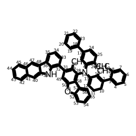 CC1=C(c2ccccc2C)CCC=C1N(c1cc(-c2ccccc2)ccc1C)c1c(C)c(-c2cccc3c2[nH]c2cc4ccccc4cc23)cc2oc3ccccc3c12